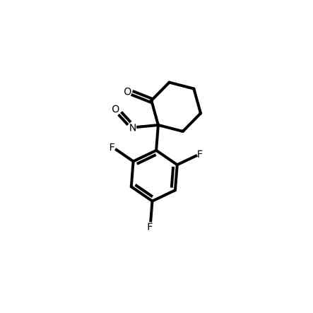 O=NC1(c2c(F)cc(F)cc2F)CCCCC1=O